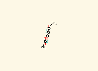 C=CCCOc1ccc(C(=O)OC2CCC(c3ccc(C4CCC(OCCCC)CC4)c(F)c3F)CC2)c(F)c1F